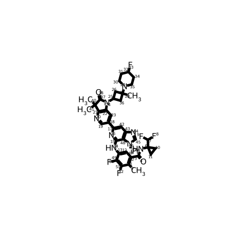 Cc1c(C(=O)NC2(C(F)F)CC2)cc(Nc2nc(-c3cnc4c(c3)N(C3CC(C)(N5CCC(F)CC5)C3)C(=O)C4(C)C)cc3ncn(C(C)C)c23)c(F)c1F